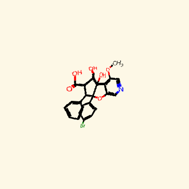 COc1cncc2c1C1(O)C(O)C(C(=O)O)C(c3ccccc3)C1(c1ccc(Br)cc1)O2